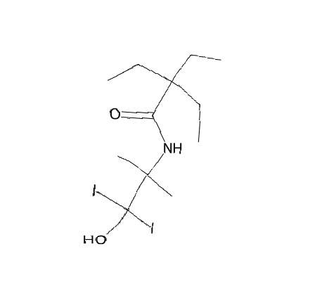 CCC(CC)(CC)C(=O)NC(C)(C)C(O)(I)I